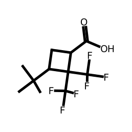 CC(C)(C)C1CC(C(=O)O)C1(C(F)(F)F)C(F)(F)F